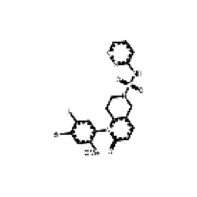 COc1cc(Br)c(Cl)cc1-n1c2c(ccc1=O)CN(S(=O)(=O)Nc1cccnn1)CC2